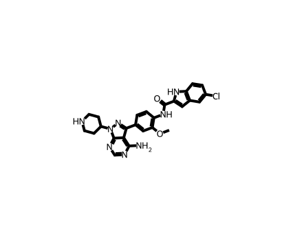 COc1cc(-c2nn(C3CCNCC3)c3ncnc(N)c23)ccc1NC(=O)c1cc2cc(Cl)ccc2[nH]1